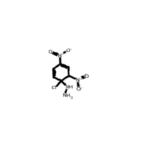 NNC1(Cl)C=CC([N+](=O)[O-])=CC1[N+](=O)[O-]